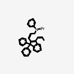 C/C=C\C1=C(/C=C\CN(c2ccccc2)C(C)C)C(c2ccccc2)(c2ccccc2)c2ccccc21